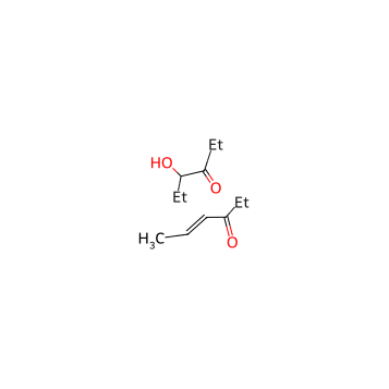 CC=CC(=O)CC.CCC(=O)C(O)CC